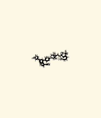 Cn1cc(-c2cc(-c3ccc(N4C[C@@H]5C(CNC(=O)c6ncccc6C(F)(F)F)[C@@H]5C4)nc3)c3c(C#N)cnn3c2)cn1